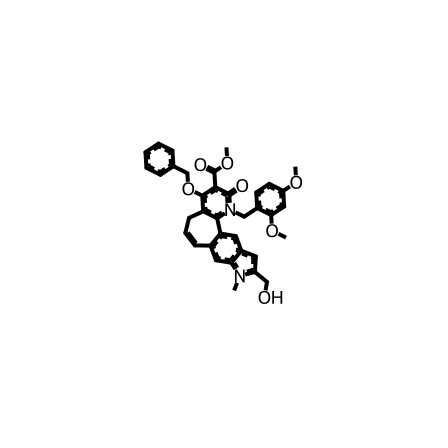 COC(=O)c1c(OCc2ccccc2)c2c(n(Cc3ccc(OC)cc3OC)c1=O)-c1cc3cc(CO)n(C)c3cc1C=CC2